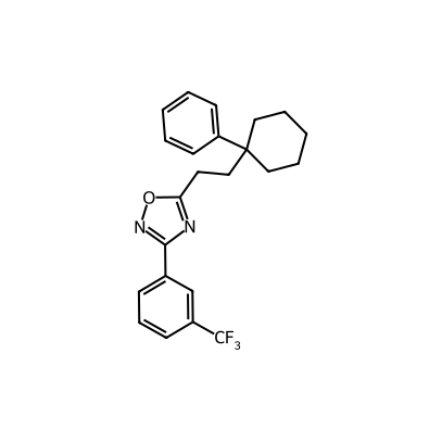 FC(F)(F)c1cccc(-c2noc(CCC3(c4ccccc4)CCCCC3)n2)c1